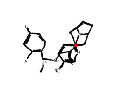 C[C@H](NCC(=O)N1CC2CCC(C1)N2c1ccc(C#N)cn1)c1ccc(F)cc1F